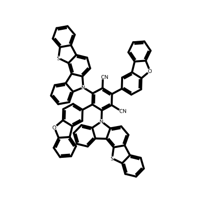 N#Cc1c(-c2ccc3oc4ccccc4c3c2)c(C#N)c(-n2c3ccccc3c3c4sc5ccccc5c4ccc32)c(-c2ccc3oc4ccccc4c3c2)c1-n1c2ccccc2c2c3sc4ccccc4c3ccc21